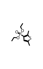 CCOP(=O)(OCC)c1cc(C)sc1C